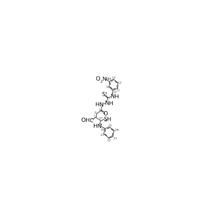 O=CC(CC(=O)NNC(=S)Nc1cccc([N+](=O)[O-])c1)C(S)Nc1ccccc1